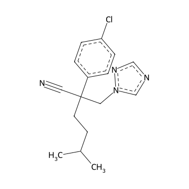 CC(C)CCC(C#N)(Cn1cncn1)c1ccc(Cl)cc1